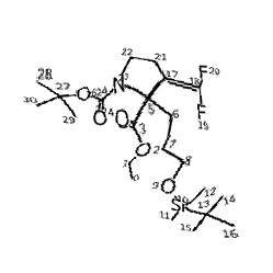 CCOC(=O)C1(CCCO[Si](C)(C)C(C)(C)C)C(=C(F)F)CCN1C(=O)OC(C)(C)C